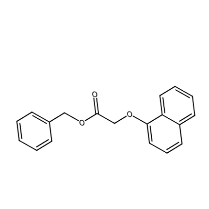 O=C(COc1cccc2ccccc12)OCc1ccccc1